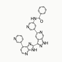 O=C(Nc1cncc(-c2cc3c(-c4nc5c(-c6cccnc6)ccnc5[nH]4)n[nH]c3cn2)c1)c1ccccc1